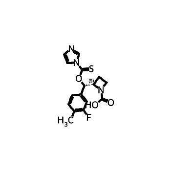 Cc1ccc(C(OC(=S)n2ccnc2)[C@@H]2CCN2C(=O)O)cc1F